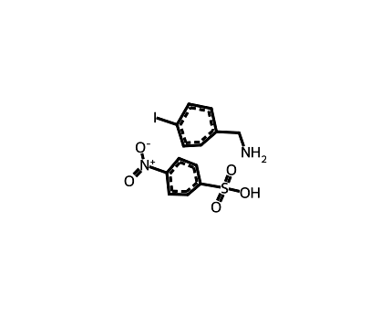 NCc1ccc(I)cc1.O=[N+]([O-])c1ccc(S(=O)(=O)O)cc1